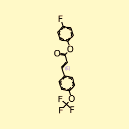 O=C(/C=C/c1ccc(OC(F)(F)F)cc1)Oc1ccc(F)cc1